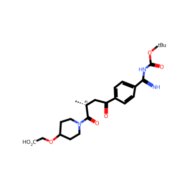 C[C@H](CC(=O)c1ccc(C(=N)NC(=O)OC(C)(C)C)cc1)C(=O)N1CCC(OCC(=O)O)CC1